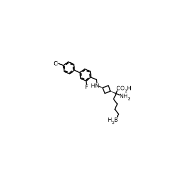 BCCCCC(N)(C(=O)O)[C@H]1C[C@@H](NCc2ccc(-c3ccc(Cl)cc3)cc2F)C1